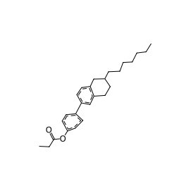 CCCCCCCC1CCc2cc(-c3ccc(OC(=O)CC)cc3)ccc2C1